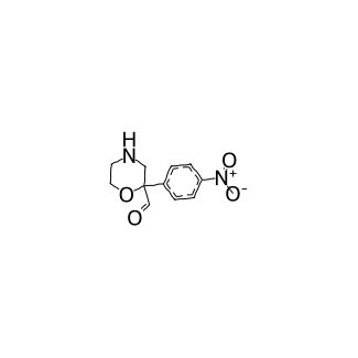 O=CC1(c2ccc([N+](=O)[O-])cc2)CNCCO1